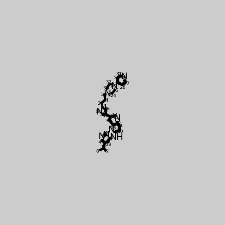 CC(C)c1cnnc(Nc2ccc3ncc(-c4cnn(CCCN5CCN(c6ccncc6)CC5)c4)cc3n2)c1